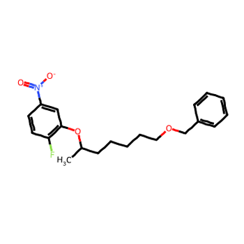 CC(CCCCCOCc1ccccc1)Oc1cc([N+](=O)[O-])ccc1F